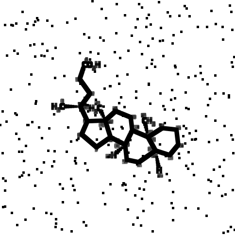 C[C@H](CCC(=O)O)C1CCC2[C@@H]3CC[C@@H]4CCCC[C@]4(C)C3CC[C@@]21C